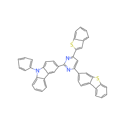 c1ccc(-n2c3ccccc3c3cc(-c4nc(-c5ccc6c(c5)sc5ccccc56)cc(-c5cc6ccccc6s5)n4)ccc32)cc1